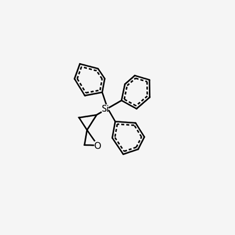 c1ccc([Si](c2ccccc2)(c2ccccc2)C2CC23CO3)cc1